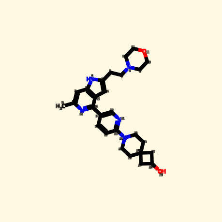 Cc1cc2[nH]c(CCN3CCOCC3)cc2c(-c2ccc(N3CCC4(CC3)CC(O)C4)nc2)n1